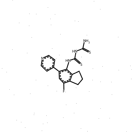 NC(=S)NC(=S)Nc1c(-c2ccncc2)cc(F)c2c1CCC2